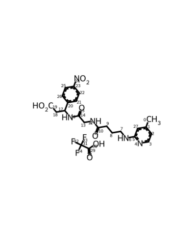 Cc1ccnc(NCCCC(=O)NCC(=O)NC(CC(=O)O)c2ccc([N+](=O)[O-])cc2)c1.O=C(O)C(F)(F)F